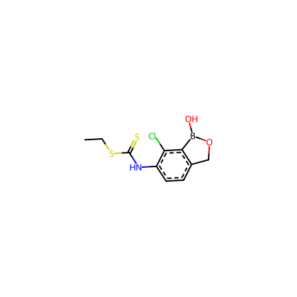 CCSC(=S)Nc1ccc2c(c1Cl)B(O)OC2